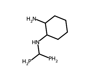 NC1CCCCC1NC(P)P